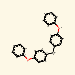 c1ccc(Oc2cc[c]([Sn][c]3ccc(Oc4ccccc4)cc3)cc2)cc1